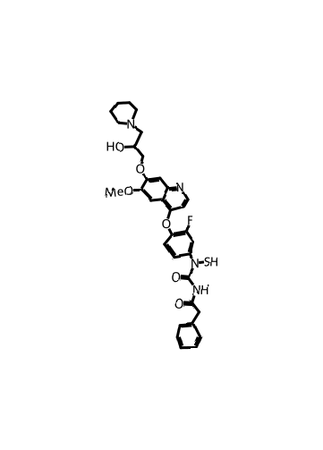 COc1cc2c(Oc3ccc(N(S)C(=O)NC(=O)Cc4ccccc4)cc3F)ccnc2cc1OCC(O)CN1CCCCC1